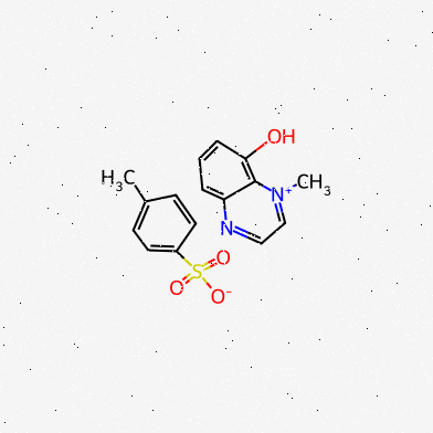 C[n+]1ccnc2cccc(O)c21.Cc1ccc(S(=O)(=O)[O-])cc1